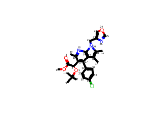 COC(=O)[C@@H](OC(C)(C)C)c1c(C)nc2c(c(C)c(C)n2Cc2cocn2)c1-c1ccc(Cl)cc1